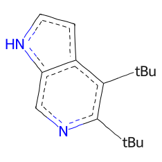 CC(C)(C)c1ncc2[nH]ccc2c1C(C)(C)C